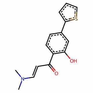 CN(C)/C=C/C(=O)c1ccc(-c2cccs2)cc1O